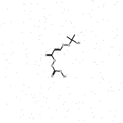 CCCC(C)(C)OOC=CC(=O)OOC(=O)OC(C)C